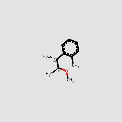 CO[C@@H](C)[C@H](C)c1ccccc1C